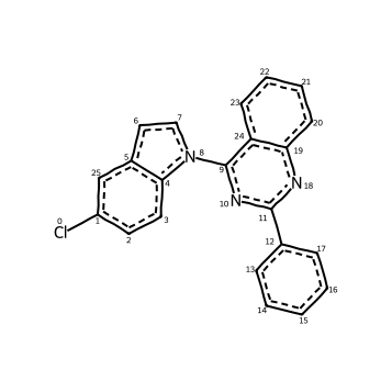 Clc1ccc2c(ccn2-c2nc(-c3ccccc3)nc3ccccc23)c1